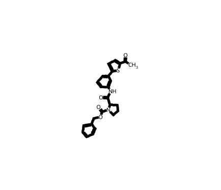 CC(=O)c1ccc(-c2cccc(NC(=O)C3CCCN3C(=O)OCc3ccccc3)c2)s1